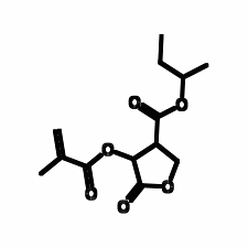 C=C(C)C(=O)OC1C(=O)OCC1C(=O)OC(C)CC